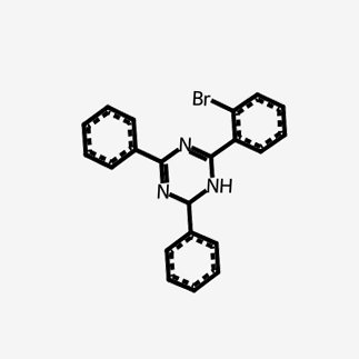 Brc1ccccc1C1=NC(c2ccccc2)=NC(c2ccccc2)N1